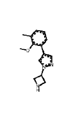 COc1c(C)cccc1-c1cnn(C2CNC2)c1